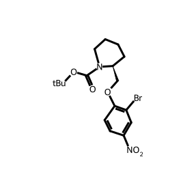 CC(C)(C)OC(=O)N1CCCC[C@H]1COc1ccc([N+](=O)[O-])cc1Br